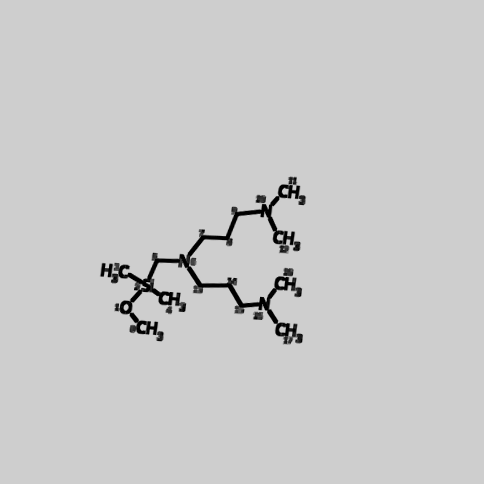 CO[Si](C)(C)CN(CCCN(C)C)CCCN(C)C